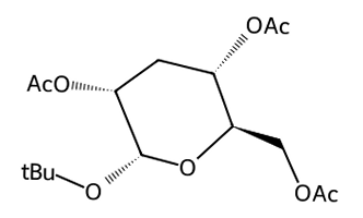 CC(=O)OC[C@H]1O[C@H](OC(C)(C)C)[C@H](OC(C)=O)C[C@@H]1OC(C)=O